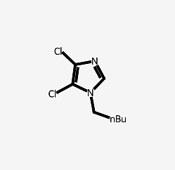 CCCCCn1cnc(Cl)c1Cl